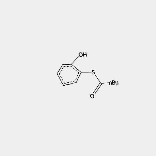 CCCCC(=O)Sc1ccccc1O